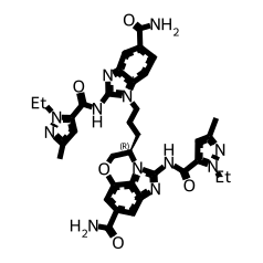 CCn1nc(C)cc1C(=O)Nc1nc2cc(C(N)=O)ccc2n1CCC[C@@H]1COc2cc(C(N)=O)cc3nc(NC(=O)c4cc(C)nn4CC)n1c23